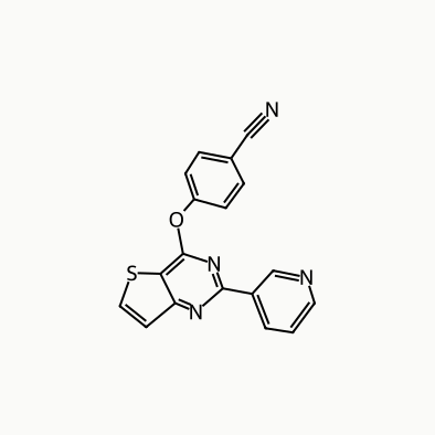 N#Cc1ccc(Oc2nc(-c3cccnc3)nc3ccsc23)cc1